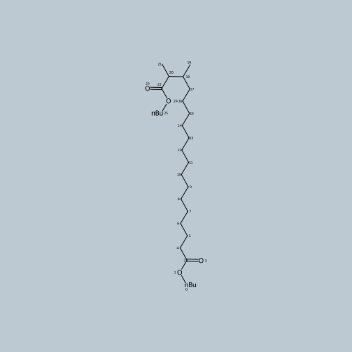 CCCCOC(=O)CCCCCCCCCCCCCCC(C)C(C)C(=O)OCCCC